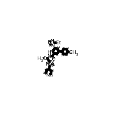 CCc1nnnn1-c1cc(C(=O)NC(C)c2noc(-c3ccncc3)n2)cc(-c2ccc(C)cc2)c1